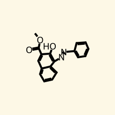 COC(=O)c1cc2ccccc2c(/N=N/c2ccccc2)c1O